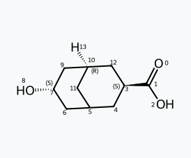 O=C(O)[C@H]1CC2C[C@H](O)C[C@H](C2)C1